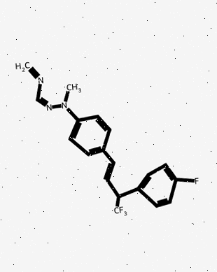 C=N/C=N\N(C)c1ccc(/C=C/C(c2ccc(F)cc2)C(F)(F)F)cc1